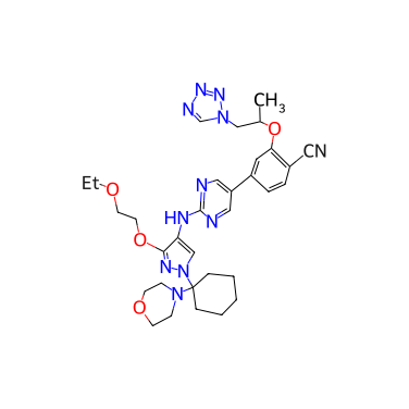 CCOCCOc1nn(C2(N3CCOCC3)CCCCC2)cc1Nc1ncc(-c2ccc(C#N)c(OC(C)Cn3cnnn3)c2)cn1